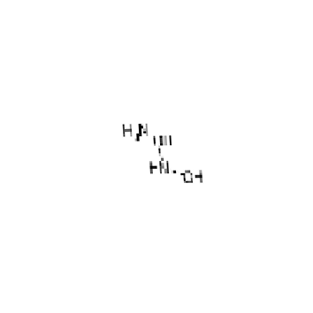 N.ONO